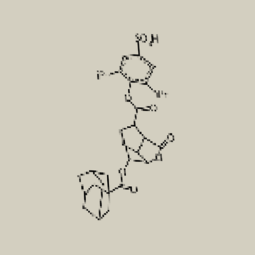 CC(C)c1cc(S(=O)(=O)O)cc(C(C)C)c1OC(=O)C1C2CC3C(OC(=O)C31)C2OC(=O)C12CC3CC(CC(C3)C1)C2